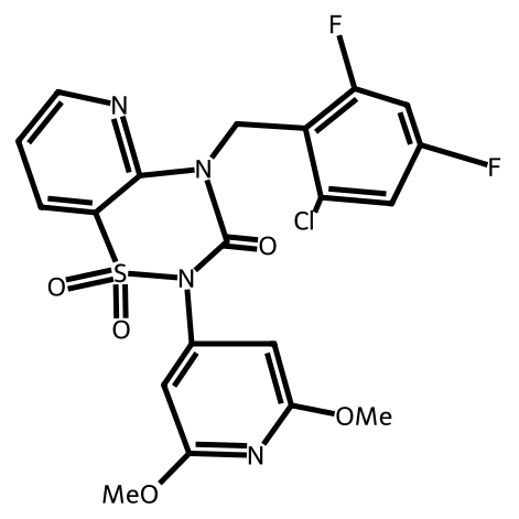 COc1cc(N2C(=O)N(Cc3c(F)cc(F)cc3Cl)c3ncccc3S2(=O)=O)cc(OC)n1